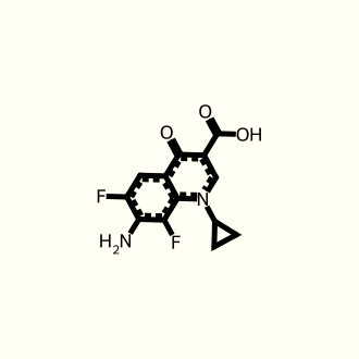 Nc1c(F)cc2c(=O)c(C(=O)O)cn(C3CC3)c2c1F